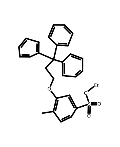 CCOS(=O)(=O)c1ccc(C)c(OCCC(c2ccccc2)(c2ccccc2)c2ccccc2)c1